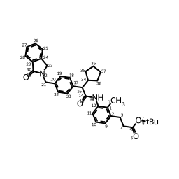 Cc1c(CCC(=O)OC(C)(C)C)cccc1NC(=O)C(c1ccc(CN2Cc3ccccc3C2=O)cc1)C1CCCC1